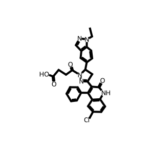 CCn1ncc2cc(C3CC(c4c(-c5ccccc5)c5cc(Cl)ccc5[nH]c4=O)=NN3C(=O)CCC(=O)O)ccc21